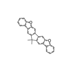 CC1(C)c2cc3c(cc2-c2cc4oc5ccccc5c4cc21)oc1ccccc13